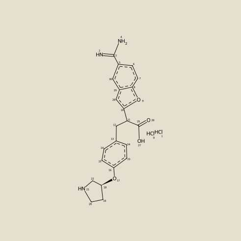 Cl.Cl.N=C(N)c1ccc2oc(C(Cc3ccc(O[C@H]4CCNC4)cc3)C(=O)O)cc2c1